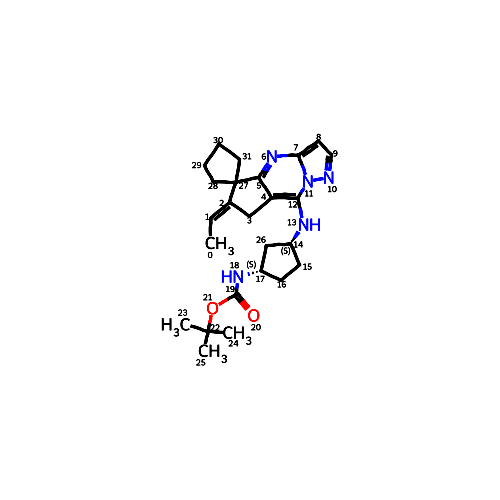 CC=C1Cc2c(nc3ccnn3c2N[C@H]2CC[C@H](NC(=O)OC(C)(C)C)C2)C12CCCC2